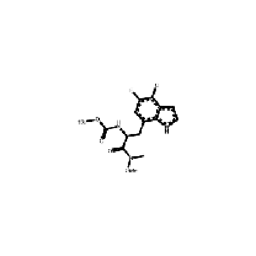 CON(C)C(=O)C(Cc1cc(F)c(Cl)c2cc[nH]c12)NC(=O)OC(C)(C)C